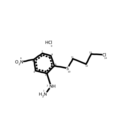 Cl.NNc1cc([N+](=O)[O-])ccc1SCCCCl